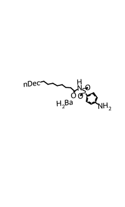 CCCCCCCCCCCCCCCCCC(=O)NS(=O)(=O)c1ccc(N)cc1.[BaH2]